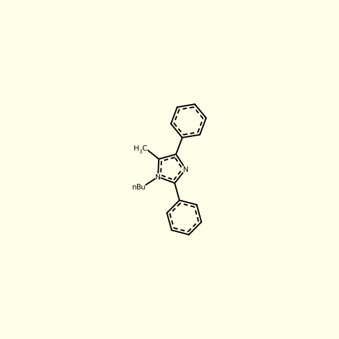 CCCCn1c(-c2ccccc2)nc(-c2ccccc2)c1C